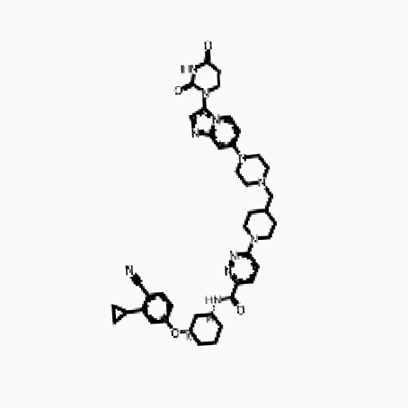 N#Cc1ccc(O[C@@H]2CCC[C@@H](NC(=O)c3ccc(N4CCC(CN5CCN(c6ccn7c(N8CCC(=O)NC8=O)cnc7c6)CC5)CC4)nn3)C2)cc1C1CC1